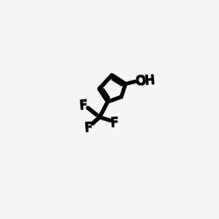 OC1=CC=C(C(F)(F)F)C1